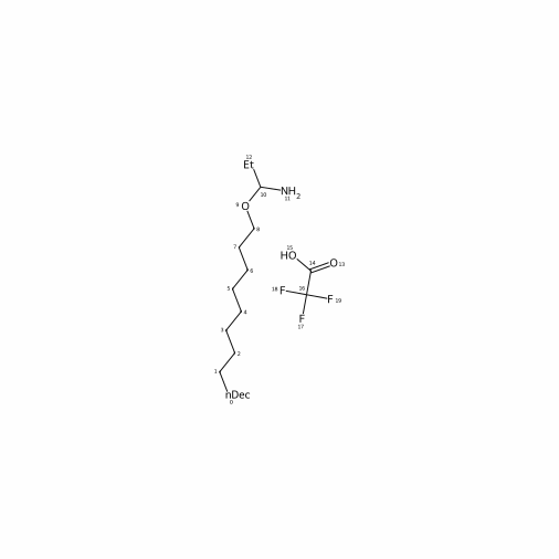 CCCCCCCCCCCCCCCCCCOC(N)CC.O=C(O)C(F)(F)F